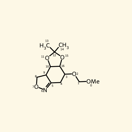 COCOC1CC2=NOCC2C2OC(C)(C)OC12